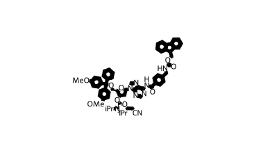 COc1ccc(C(OC[C@H]2OC(n3cnc4c(NC(=O)c5ccc(CNC(=O)OCC6c7ccccc7-c7ccccc76)cc5)ncnc43)CC2OP(OCCC#N)N(C(C)C)C(C)C)(c2ccccc2)c2ccc(OC)cc2)cc1